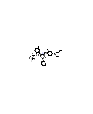 CCCCN(CC)c1ccc(/C=C2\N=C(c3ccccn3)N=C2c2cc(C)ccc2NC(=O)C(F)(F)F)c(C)c1